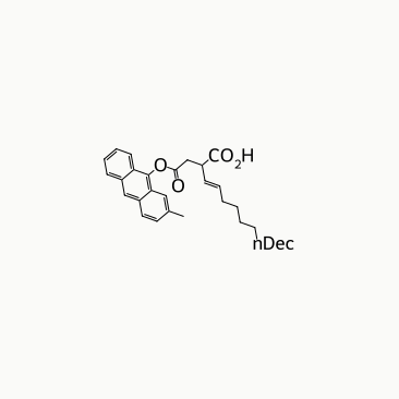 CCCCCCCCCCCCCCC=CC(CC(=O)Oc1c2ccccc2cc2ccc(C)cc12)C(=O)O